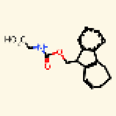 O=C(O)CNC(=O)OCC1C2=C(CCCC=C2)c2ccccc21